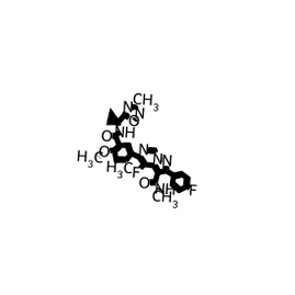 CNC(=O)c1c(-c2ccc(F)cc2)nn2cnc(-c3cc(C(=O)NC4(c5nc(C)no5)CC4)c(OC)cc3C)c(F)c12